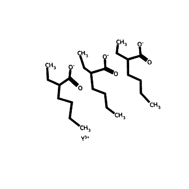 CCCCC(CC)C(=O)[O-].CCCCC(CC)C(=O)[O-].CCCCC(CC)C(=O)[O-].[Y+3]